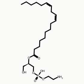 CCCCC/C=C\C/C=C\CCCCCCCC(=O)O[C@H](CO)COP(=O)(O)OCCN